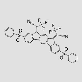 N#C/C(=C1\c2cc(S(=O)(=O)c3ccccc3)ccc2-c2cc3c(cc21)/C(=C(/C#N)C(F)(F)F)c1cc(S(=O)(=O)c2ccccc2)ccc1-3)C(F)(F)F